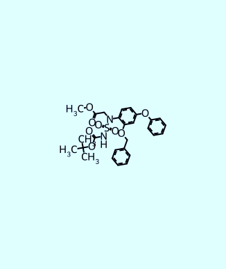 COC(=O)CN(c1ccc(Oc2ccccc2)cc1OCc1ccccc1)S(=O)(=O)NC(=O)OC(C)(C)C